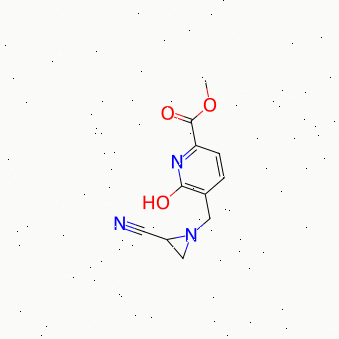 COC(=O)c1ccc(CN2CC2C#N)c(O)n1